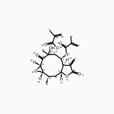 C=C(C)C(=O)O[C@H]1[C@H]2C(=C)C(=O)O[C@@H]2C[C@@H](C)[C@@H]2O[C@@H]2C(=O)C(C)(O)[C@@H]1OC(=O)C(=C)C